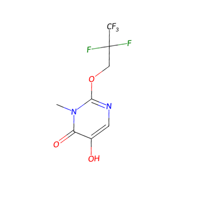 Cn1c(OCC(F)(F)C(F)(F)F)ncc(O)c1=O